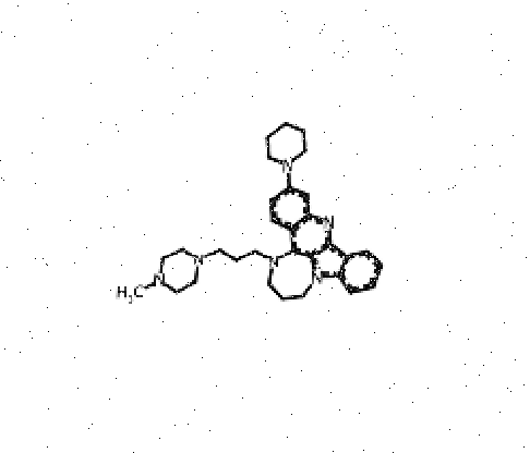 CN1CCN(CCCN2CCCn3c4ccccc4c4nc5cc(N6CCCCC6)ccc5c2c43)CC1